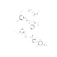 CCNc1nc(Cl)nc(NC(C)C)n1.COc1cc(OC)nc(NC(=O)NS(=O)(=O)c2ncccc2C(=O)N(C)C)n1.CP(=O)(O)CCC(N)C(=O)O.Nc1c([N+](=O)[O-])cnn1-c1c(Cl)cc(C(F)(F)F)cc1Cl